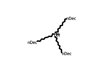 CCCCCCCCCCCCCCCCCCC[PH](CC)(CCCCCCCCCCCCCCCCCCC)CCCCCCCCCCCCCCCCCCC